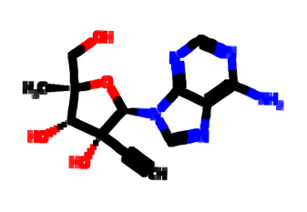 C#C[C@]1(O)[C@H](n2cnc3c(N)ncnc32)O[C@](C)(CO)[C@H]1O